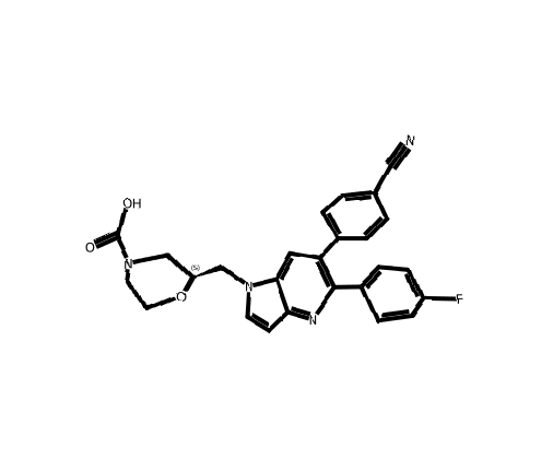 N#Cc1ccc(-c2cc3c(ccn3C[C@@H]3CN(C(=O)O)CCO3)nc2-c2ccc(F)cc2)cc1